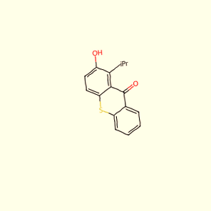 CC(C)c1c(O)ccc2sc3ccccc3c(=O)c12